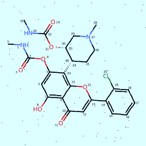 CNC(=O)Oc1cc(O)c2c(=O)cc(-c3ccccc3Cl)oc2c1[C@H]1CCN(C)C[C@H]1OC(=O)NC